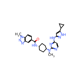 Cn1nnc2cc(C(=O)N[C@H]3CC[C@H](N(C)c4nccc(Nc5cc(C6CC6)[nH]n5)n4)CC3)ccc21